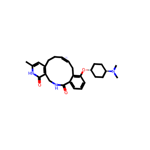 Cc1cc2c(c(=O)[nH]1)CNC(=O)c1cccc(O[C@H]3CC[C@H](N(C)C)CC3)c1C/C=C\CC2